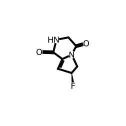 O=C1NCC(=O)N2C[C@@H](F)C=C12